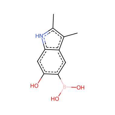 Cc1[nH]c2cc(O)c(B(O)O)cc2c1C